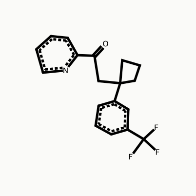 O=C(CC1(c2cccc(C(F)(F)F)c2)CCC1)c1ccccn1